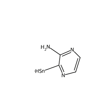 Nc1nccn[c]1[SnH]